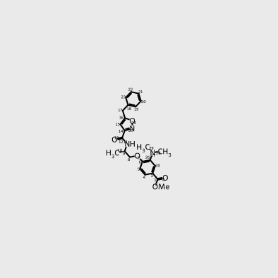 COC(=O)c1ccc(OC[C@@H](C)NC(=O)c2cc(Cc3ccccc3)on2)c(N(C)C)c1